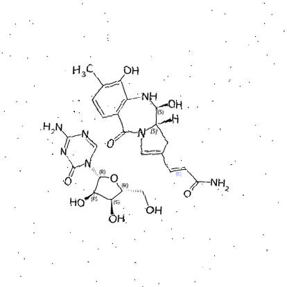 Cc1ccc2c(c1O)N[C@@H](O)[C@@H]1CC(/C=C/C(N)=O)=CN1C2=O.Nc1ncn([C@@H]2O[C@H](CO)[C@@H](O)[C@H]2O)c(=O)n1